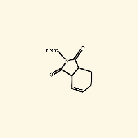 CCCCCN1C(=O)C2C=CCCC2C1=O